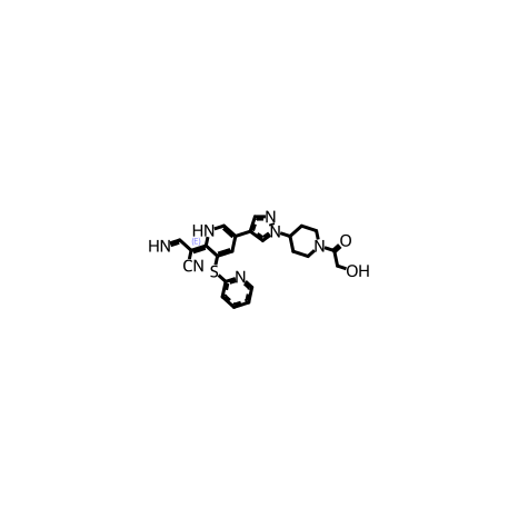 N#C/C(C=N)=C1/NC=C(c2cnn(C3CCN(C(=O)CO)CC3)c2)C=C1Sc1ccccn1